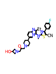 CCc1nc2ccc(C3CCN(CC(=O)CN4CC(O)C4)CC3)cn2c1N(C)c1nc(-c2ccc(F)cc2)c(C#N)s1